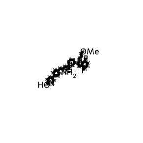 COCCCn1c([C@@H]2CCCN(C(=O)C[C@H](N)Cc3ccc(-c4ccc(O)nc4)cc3)C2)cc2c(F)ccc(F)c21